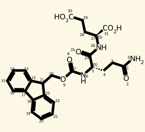 NC(=O)CC[C@H](NC(=O)OCC1c2ccccc2-c2ccccc21)C(=O)N[C@@H](CCC(=O)O)C(=O)O